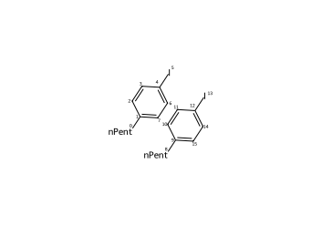 CCCCCc1ccc(I)cc1.CCCCCc1ccc(I)cc1